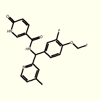 Cc1ccnc(C(NC(=O)c2ccc(=O)[nH]c2)c2ccc(OCF)c(F)c2)c1